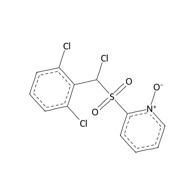 O=S(=O)(c1cccc[n+]1[O-])C(Cl)c1c(Cl)cccc1Cl